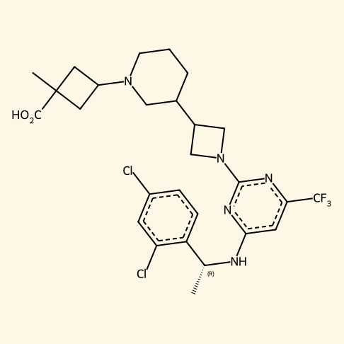 C[C@@H](Nc1cc(C(F)(F)F)nc(N2CC(C3CCCN(C4CC(C)(C(=O)O)C4)C3)C2)n1)c1ccc(Cl)cc1Cl